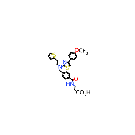 O=C(O)CCNC(=O)c1ccc(CN(CCc2cccs2)c2nc(-c3ccc(OC(F)(F)F)cc3)cs2)cc1